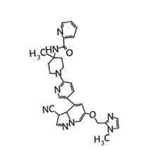 Cn1ccnc1COC1=CN2N=CC(C#N)C2C(c2ccc(N3CCC(C)(NC(=O)c4ccccn4)CC3)nc2)=C1